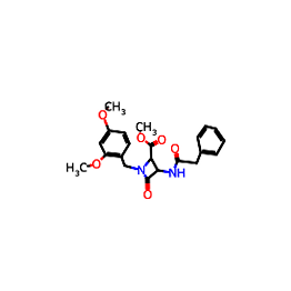 COC(=O)C1C(NC(=O)Cc2ccccc2)C(=O)N1Cc1ccc(OC)cc1OC